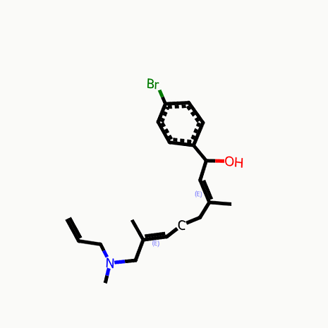 C=CCN(C)C/C(C)=C/CC/C(C)=C/C(O)c1ccc(Br)cc1